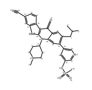 CC(C)Cc1cc2c(=O)c3c4ccc(C#N)cc4[nH]c3n(C3CCN(C)CC3)c2cc1-c1cncc(OS(=O)(=O)F)c1